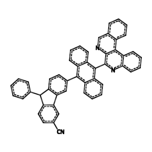 N#Cc1ccc2c(c1)-c1cc(-c3c4ccccc4c(-c4nc5ccccc5c5c4ncc4ccccc45)c4ccccc34)ccc1C2c1ccccc1